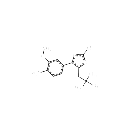 COc1cc(-c2nc(Cl)sc2CC(C)(C)C)ccc1P